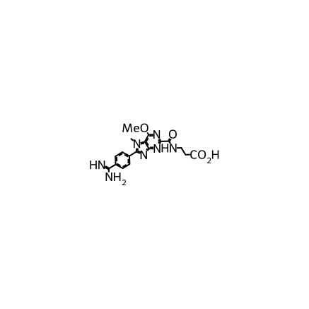 COc1nc(C(=O)NCCC(=O)O)nc2nc(-c3ccc(C(=N)N)cc3)n(C)c12